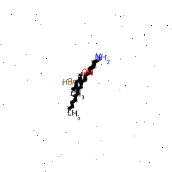 Br.CCCCCCCCCCCCCCCCCN.CCCCCCO